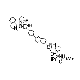 COC(=O)N[C@H](C(=O)N1CCC[C@H]1c1ncc(-c2ccc3cc(-c4ccc(-c5cnc([C@]6(F)CCCN6C(=O)[C@H]6c7ccccc7CCN6C)[nH]5)cc4)ccc3c2)[nH]1)C(C)C